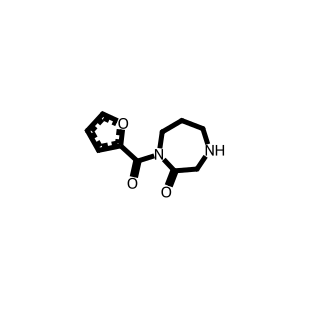 O=C1CNCCCN1C(=O)c1ccco1